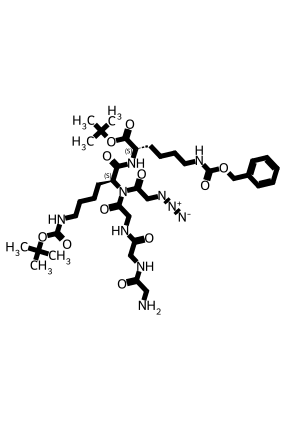 CC(C)(C)OC(=O)NCCCC[C@@H](C(=O)N[C@@H](CCCCNC(=O)OCc1ccccc1)C(=O)OC(C)(C)C)N(C(=O)CN=[N+]=[N-])C(=O)CNC(=O)CNC(=O)CN